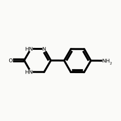 Nc1ccc(C2=NNC(=O)NC2)cc1